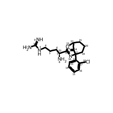 N=C(N)NCCC[C@H](N)C1=NC2(c3ccccc3Cl)CCCC(O1)C2=O